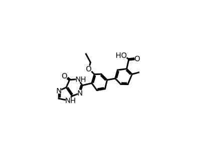 CCOc1cc(-c2ccc(C)c(C(=O)O)c2)ccc1-c1nc2[nH]cnc2c(=O)[nH]1